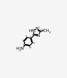 Cc1n[nH]c(-c2ccc(N)cc2)n1